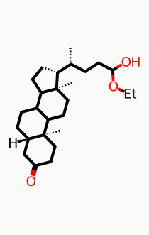 CCOC(O)CC[C@@H](C)[C@H]1CCC2C3CC[C@H]4CC(=O)CC[C@]4(C)C3CC[C@@]21C